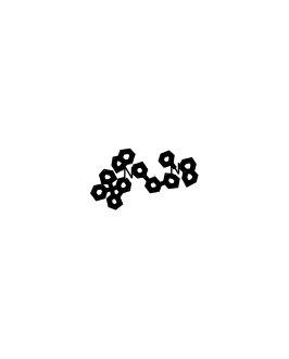 c1ccc(N(c2cccc(-c3cccc(-c4cccc(N(c5ccc6c(c5)C(c5ccccc5)(c5ccccc5)c5ccccc5-6)c5cccc6ccccc56)c4)c3)c2)c2cccc3ccccc23)cc1